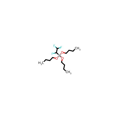 CCCCO[Si](OCCCC)(OCCCC)C(F)C(F)F